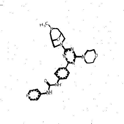 CN1CC2CN(c3nc(-c4ccc(NC(=O)Nc5ccncc5)cc4)nc(N4CCOCC4)n3)CC(C1)O2